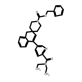 CCN(CC)C(=O)c1ccc(C2=CC3(CCN(C(=O)OCc4ccccc4)CC3)Cc3ccccc32)cn1